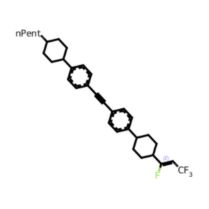 CCCCCC1CCC(c2ccc(C#Cc3ccc(C4CCC(/C(F)=C/C(F)(F)F)CC4)cc3)cc2)CC1